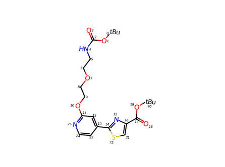 CC(C)(C)OC(=O)NCCOCCOc1cc(-c2nc(C(=O)OC(C)(C)C)cs2)ccn1